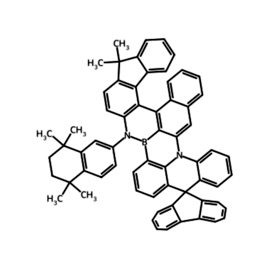 CC1(C)CCC(C)(C)c2cc(N3B4c5cccc6c5N(c5ccccc5C65c6ccccc6-c6ccccc65)c5cc6ccccc6c(c54)-c4c3ccc3c4-c4ccccc4C3(C)C)ccc21